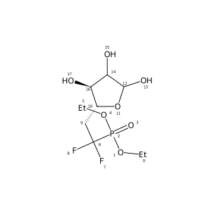 CCOP(=O)(OCC)C(F)(F)C[C@H]1OC(O)C(O)[C@@H]1O